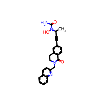 CC(C#Cc1ccc2c(c1)CCN(Cc1ccc3ccccc3n1)C2=O)N(O)C(N)=O